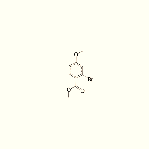 COC(=O)c1ccc(OC)cc1Br